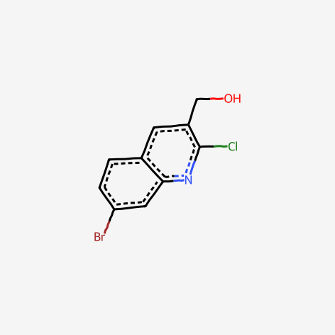 OCc1cc2ccc(Br)cc2nc1Cl